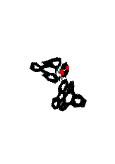 c1ccc(N(c2ccc3c(c2)-c2ccccc2C32c3ccccc3-c3ccccc3-c3ccccc32)c2cccc3c2N(c2ccccc2)c2ccccc2-c2ccccc2-3)cc1